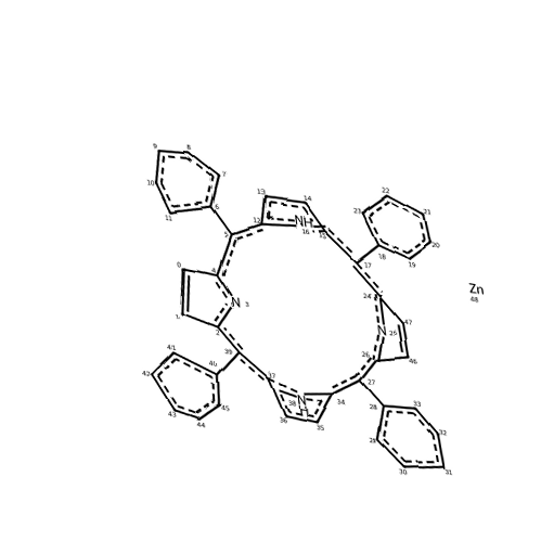 C1=Cc2nc1c(-c1ccccc1)c1ccc([nH]1)c(-c1ccccc1)c1nc(c(-c3ccccc3)c3ccc([nH]3)c2-c2ccccc2)C=C1.[Zn]